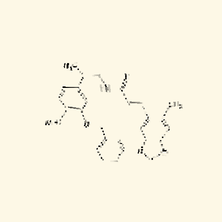 COc1ccc(C(C)CNC(=O)/C=C/c2cc3c(cc2C)OCO3)cc1OCc1ccccc1